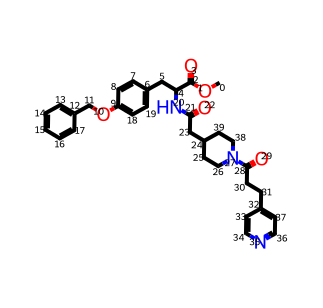 COC(=O)C(Cc1ccc(OCc2ccccc2)cc1)NC(=O)CC1CCN(C(=O)CCc2ccncc2)CC1